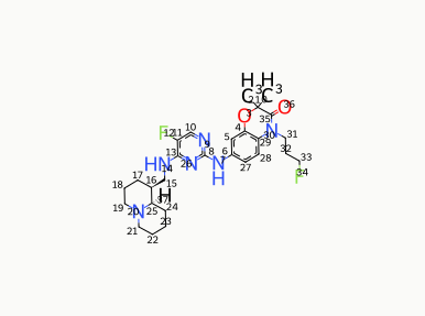 CC1(C)Oc2cc(Nc3ncc(F)c(NC[C@@H]4CCCN5CCCC[C@H]45)n3)ccc2N(CCCF)C1=O